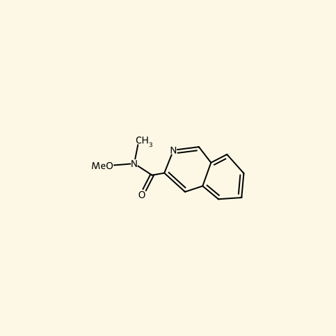 CON(C)C(=O)c1cc2ccccc2cn1